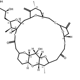 C=C1C[C@@H]2CCC(=O)CC3O[C@H]4[C@@H](O)[C@H]5OC(CC[C@@H]5O[C@H]4[C@H]3C)CC(=O)C[C@@H]3[C@@H](C)[C@@H](C[C@H](O)CO)O[C@H]3CC3O[C@@H](CCC1O2)C[C@@H](C)C3=C